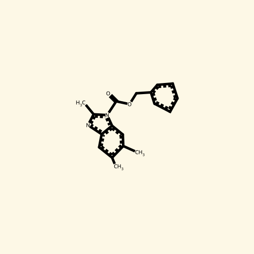 Cc1cc2nc(C)n(C(=O)OCc3ccccc3)c2cc1C